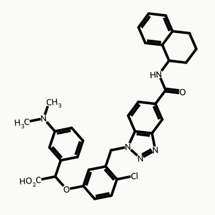 CN(C)c1cccc(C(Oc2ccc(Cl)c(Cn3nnc4cc(C(=O)NC5CCCc6ccccc65)ccc43)c2)C(=O)O)c1